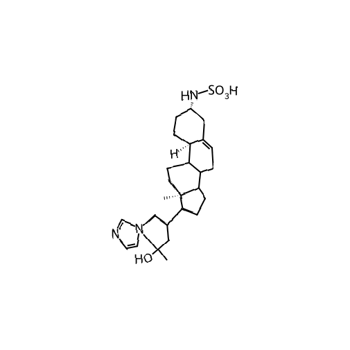 CC(C)(O)CC(Cn1ccnc1)C1CCC2C3CC=C4C[C@@H](NS(=O)(=O)O)CC[C@@H]4C3CC[C@]12C